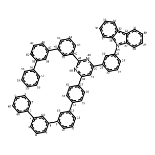 c1ccc(-c2cccc(-c3cccc(-c4ccc(-c5cc(-c6cccc(-n7c8ccccc8c8ccccc87)c6)nc(-c6cccc(-c7cccc(-c8ccccc8)c7)c6)n5)cc4)c3)c2)cc1